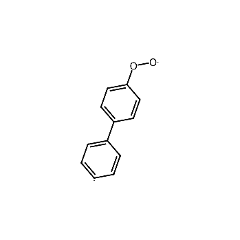 [O]Oc1ccc(-c2cc[c]cc2)cc1